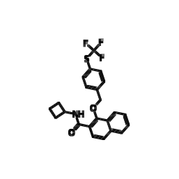 O=C(NC1CCC1)c1ccc2ccccc2c1OCc1ccc(SC(F)(F)F)cc1